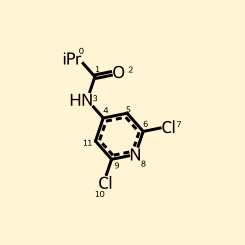 CC(C)C(=O)Nc1cc(Cl)nc(Cl)c1